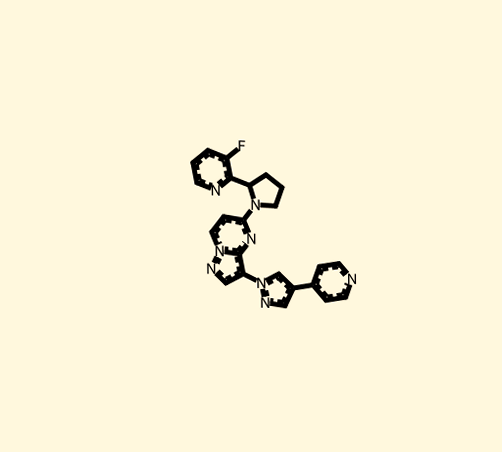 Fc1cccnc1C1CCCN1c1ccn2ncc(-n3cc(-c4ccncc4)cn3)c2n1